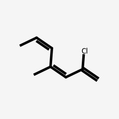 C=C(Cl)/C=C(C)\C=C/C